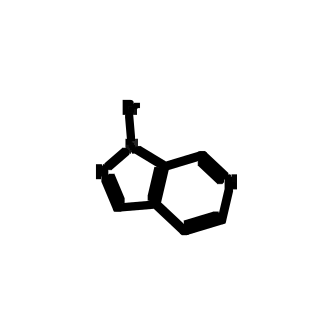 Brn1ncc2ccncc21